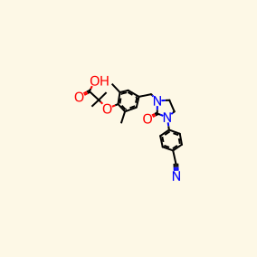 Cc1cc(CN2CCN(c3ccc(C#N)cc3)C2=O)cc(C)c1OC(C)(C)C(=O)O